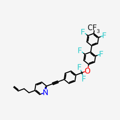 C=CCCc1ccc(C#Cc2ccc(C(F)(F)Oc3cc(F)c(-c4cc(F)c(C(F)(F)F)c(F)c4)c(F)c3)cc2)nc1